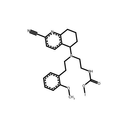 COc1ccccc1CCN(CCBC(=O)OI)C1CCCc2nc(C#N)ccc21